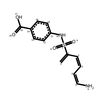 C=C(/C=C\C=C/N)S(=O)(=O)Nc1ccc(C(=O)O)cc1